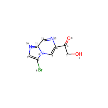 O=C(CO)c1cn2c(Br)cnc2cn1